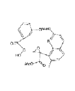 COC(=O)C1(c2c(F)ccc3ccc(OC)nc23)CO1.O=C(OO)c1cccc(Cl)c1